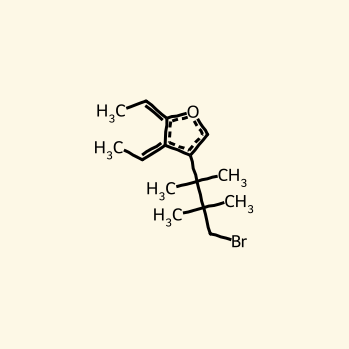 C/C=c1/c(C(C)(C)C(C)(C)CBr)co/c1=C/C